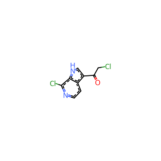 O=C(CCl)c1c[nH]c2c(Cl)nccc12